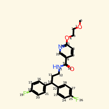 COCCOc1ccc(C(=O)NCCC(c2ccc(F)cc2)c2ccc(F)cc2)cn1